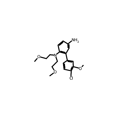 COCCN(CCOC)c1ccc(N)cc1-c1ccc(Cl)c(OC)c1